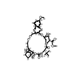 COC(=O)[C@@H]1[C@H](C)[C@@H]2CN1C(=O)[C@H](C(C)(C)C)NC(=O)O[C@@H]1[C@H]3CC[C@H](C3)[C@H]1CCCCCc1nc3ccc(OC)cc3nc1O2